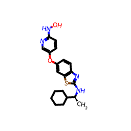 C[C@H](Nc1nc2ccc(Oc3ccc(NO)nc3)cc2s1)C1CCCCC1